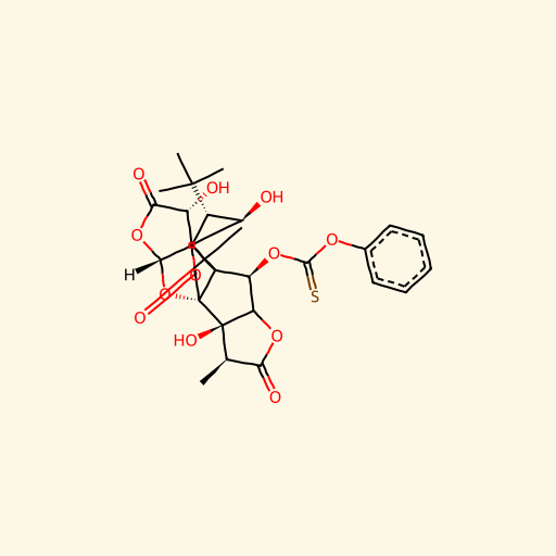 C[C@@H]1C(=O)OC2[C@H](OC(=S)Oc3ccccc3)C34C5OC(=O)[C@]3(O[C@@H]3OC(=O)[C@H](O)C34[C@H](C(C)(C)C)[C@H]5O)[C@]21O